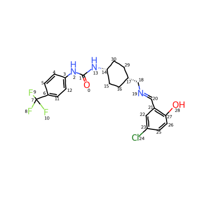 O=C(Nc1ccc(C(F)(F)F)cc1)N[C@H]1CC[C@@H](CN=Cc2cc(Cl)ccc2O)CC1